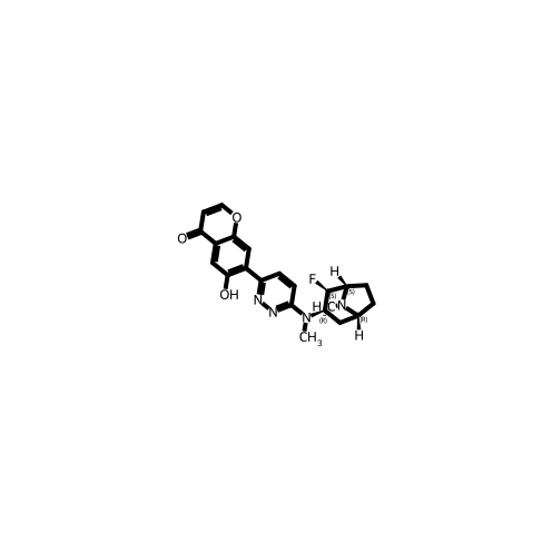 CN(c1ccc(-c2cc3occc(=O)c3cc2O)nn1)[C@@H]1C[C@H]2CC[C@@H]([C@@H]1F)N2C